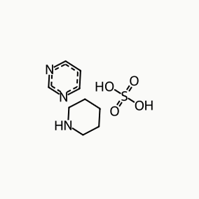 C1CCNCC1.O=S(=O)(O)O.c1cncnc1